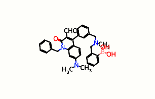 CN(Cc1cccc(-c2c(C=O)c(=O)n(Cc3ccccc3)c3cc(N(C)C)ccc23)c1)Cc1ccccc1B(O)O